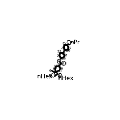 CCCCCCOC(C)C1(C(C)OCCCCCC)C=CC(C(=O)Oc2ccc(-c3ccc(OCCC)cc3)cc2)=CC1